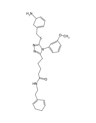 COc1cccc(-n2c(CCCCC(=O)NCCC3=CCCC=C3)nnc2SCC2=CC=CC(N)C2)c1